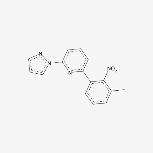 Cc1[c]ccc(-c2cccc(-n3cccn3)n2)c1[N+](=O)[O-]